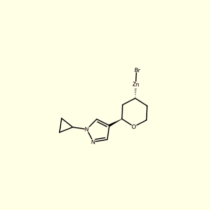 [Br][Zn][C@@H]1CCO[C@@H](c2cnn(C3CC3)c2)C1